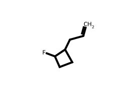 C=CC[C]1CCC1F